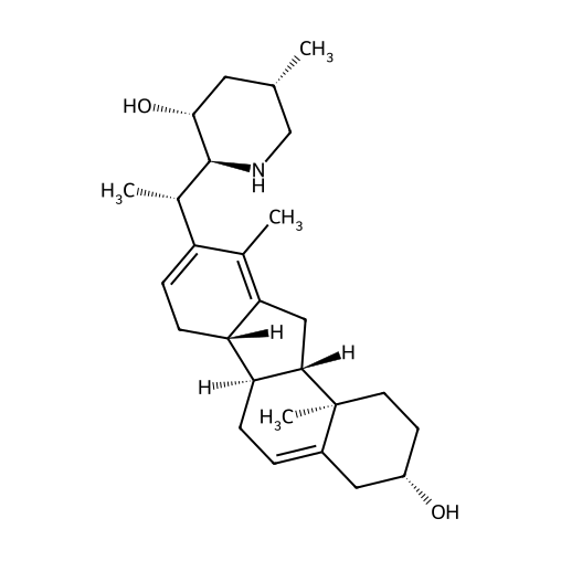 CC1=C2C[C@H]3[C@@H](CC=C4C[C@@H](O)CC[C@@]43C)[C@@H]2CC=C1[C@H](C)[C@@H]1NC[C@@H](C)C[C@H]1O